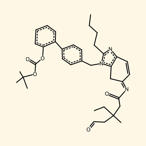 CCCCc1nc2c(n1Cc1ccc(-c3ccccc3OC(=O)OC(C)(C)C)cc1)CC(=NC(=O)CC(C)(CC)CC=O)C=C2